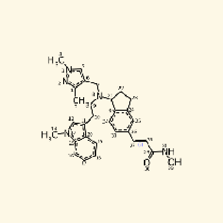 Cc1nn(C)cc1CN(CCc1cn(C)c2ccccc12)C1CCc2cc(/C=C/C(=O)NO)ccc21